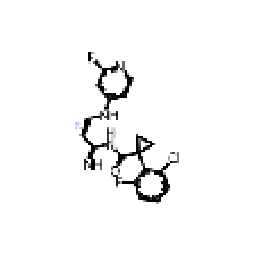 N=C(/C=C\Nc1ccnc(F)c1)NC(=O)C1(c2c(F)cccc2Cl)CC1